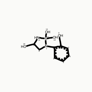 Oc1ccc[c]c1N1CC(O)NS1(O)O